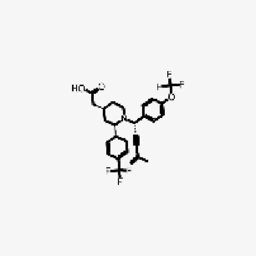 C=C(C)C#C[C@@H](c1ccc(OC(F)(F)F)cc1)N1CC[C@H](CC(=O)O)C[C@@H]1C1C=CC(C(F)(F)F)=CC1